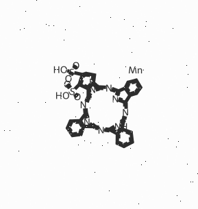 O=S(=O)(O)c1ccc2c3nc4nc(nc5[nH]c(nc6nc(nc([nH]3)c2c1S(=O)(=O)O)-c1ccccc1-6)c1ccccc51)-c1ccccc1-4.[Mn]